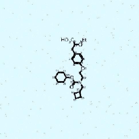 CCOC(Cc1ccc(OCCN(CC2CCC2)C(=O)OC2CCCCC2)cc1)C(=O)O